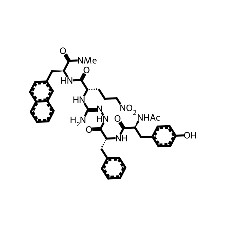 CNC(=O)[C@H](Cc1ccc2ccccc2c1)NC(=O)[C@H](CCC[N+](=O)[O-])NC(N)=NNC(=O)[C@@H](Cc1ccccc1)NC(=O)[C@H](Cc1ccc(O)cc1)NC(C)=O